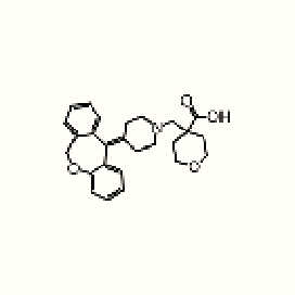 O=C(O)C1(CN2CCC(=C3c4ccccc4COc4ccccc43)CC2)CCOCC1